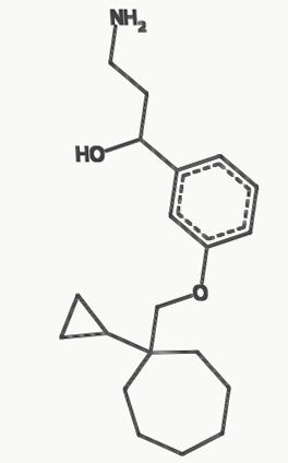 NCCC(O)c1cccc(OCC2(C3CC3)CCCCCC2)c1